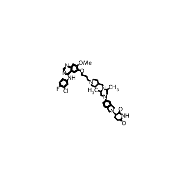 COc1cc2ncnc(Nc3ccc(F)c(Cl)c3)c2cc1OCCCN1CCC(CN2C(C)CN(c3ccc4c(c3)CN(C3CCC(=O)NC3=O)C4)CC2C)CC1